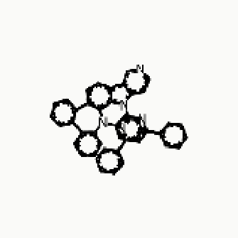 c1ccc(-c2cc(-c3ccccc3)nc(-n3c4ccncc4c4ccc5c(c43)N(c3ccccc3)c3ccccc3-c3ccccc3-5)n2)cc1